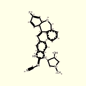 CN1C[C@H](O)[C@@H](n2/c(=N/C#N)[nH]c3cc(/C=C4\c5ccccc5COC5C=C(F)C=CC45)ccc32)C1